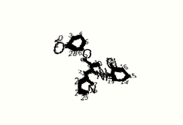 COc1cccc(OCC2=CN(c3ccccc3Cl)NC2Cc2cccnc2)c1